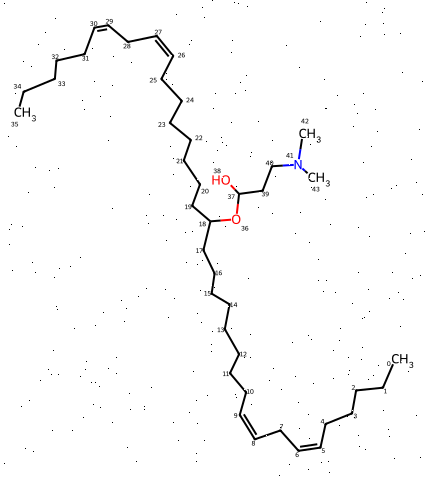 CCCCC/C=C\C/C=C\CCCCCCCCC(CCCCCCC/C=C\C/C=C\CCCCC)OC(O)CCN(C)C